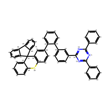 c1ccc(-c2nc(-c3ccccc3)nc(-c3cccc(-c4ccccc4-c4ccc5c(c4)C4(c6ccccc6S5)c5ccccc5-c5ccccc54)c3)n2)cc1